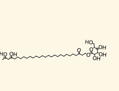 C[C@@H](O)C[C@@H](O)CCCCCCCCCCCCCCCCCCCCCC(=O)CCO[C@H]1OC(CO)[C@@H](O)C(O)C1O